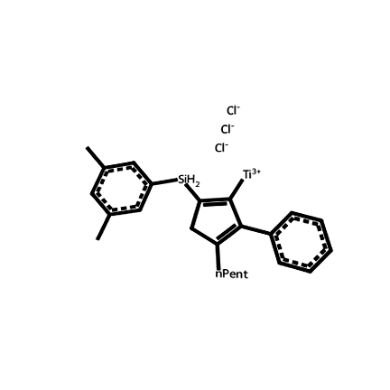 CCCCCC1=C(c2ccccc2)[C]([Ti+3])=C([SiH2]c2cc(C)cc(C)c2)C1.[Cl-].[Cl-].[Cl-]